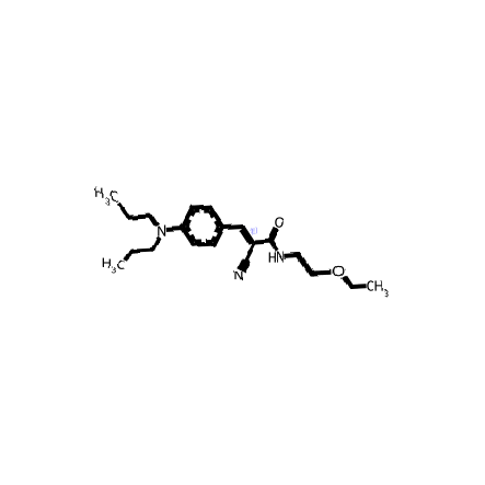 CCCN(CCC)c1ccc(/C=C(\C#N)C(=O)NCCOCC)cc1